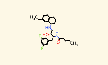 CCCCC(=O)N[C@@H](Cc1cc(F)cc(F)c1)[C@H](O)CN[C@H]1CCCc2ccc(CC)cc21